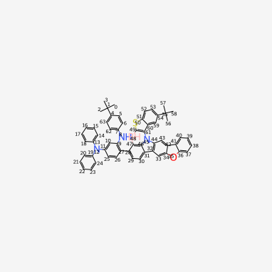 CC(C)(C)c1ccc(Nc2cc(N(c3ccccc3)c3ccccc3)ccc2-c2ccc3c4cc5oc6ccccc6c5cc4n4c3c2Bc2sc3ccc(C(C)(C)C)cc3c2-4)cc1